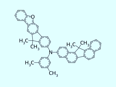 Cc1cc(C)cc(N(c2ccc3c(c2)C(C)(C)c2cc4c(cc2-3)oc2ccccc24)c2ccc3c4c(ccc3c2)-c2ccc3ccccc3c2C4(C)C)c1